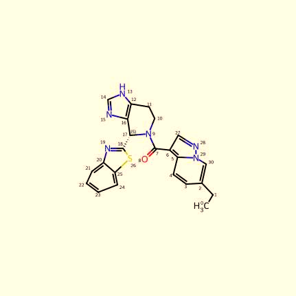 CCc1ccc2c(C(=O)N3CCc4[nH]cnc4[C@H]3c3nc4ccccc4s3)cnn2c1